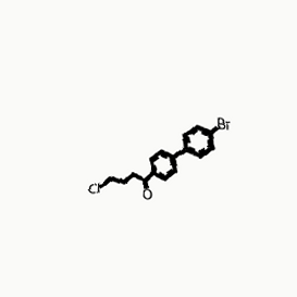 O=C(CCCCl)c1ccc(-c2ccc(Br)cc2)cc1